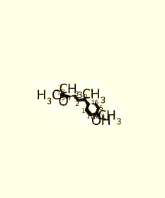 C[C@@H](CC[C@H]1OC1(C)C)[C@H]1C=C[C@@](C)(O)CC1